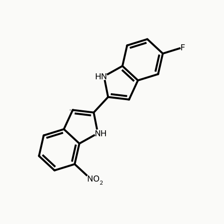 O=[N+]([O-])c1cccc2[c]c(-c3cc4cc(F)ccc4[nH]3)[nH]c12